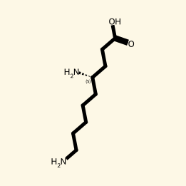 NCCCCC[C@H](N)CCC(=O)O